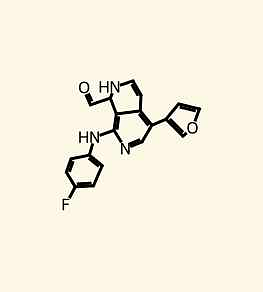 O=CC1NC=Cc2c(-c3ccoc3)cnc(Nc3ccc(F)cc3)c21